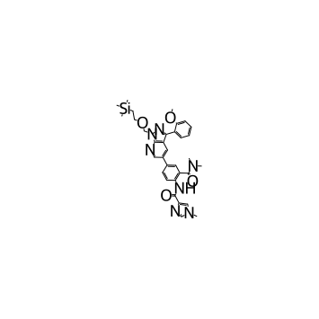 COc1ccccc1-c1nn(COCC[Si](C)(C)C)c2ncc(-c3ccc(NC(=O)c4cn(C)cn4)c(C(=O)N(C)C)c3)cc12